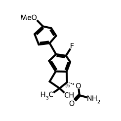 COc1ccc(-c2cc3c(cc2F)[C@H](OC(N)=O)C(C)(C)C3)cc1